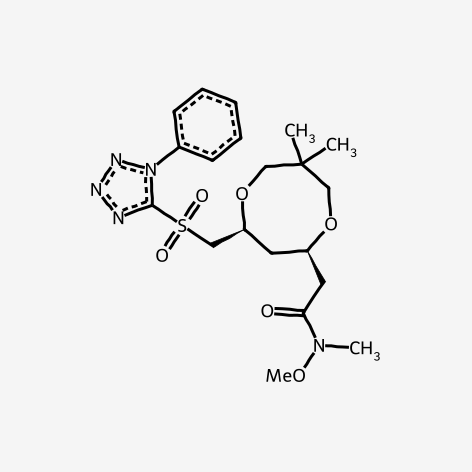 CON(C)C(=O)C[C@H]1C[C@@H](CS(=O)(=O)c2nnnn2-c2ccccc2)OCC(C)(C)CO1